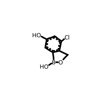 OB1OCc2c(Cl)cc(O)cc21